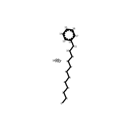 CCCCCCCCCCCCc1ccccc1.[Rb]